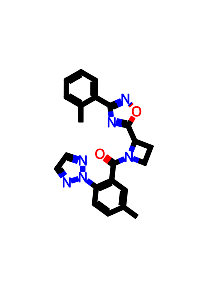 Cc1ccc(-n2nccn2)c(C(=O)N2CCC2c2nc(-c3ccccc3C)no2)c1